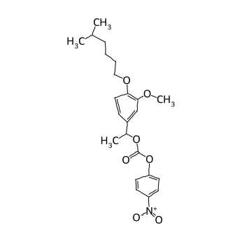 COc1cc(C(C)OC(=O)Oc2ccc([N+](=O)[O-])cc2)ccc1OCCCCC(C)C